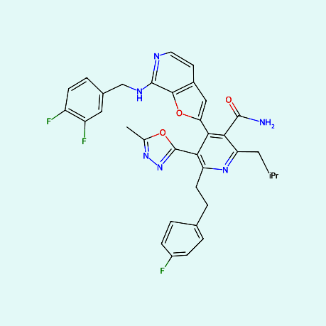 Cc1nnc(-c2c(CCc3ccc(F)cc3)nc(CC(C)C)c(C(N)=O)c2-c2cc3ccnc(NCc4ccc(F)c(F)c4)c3o2)o1